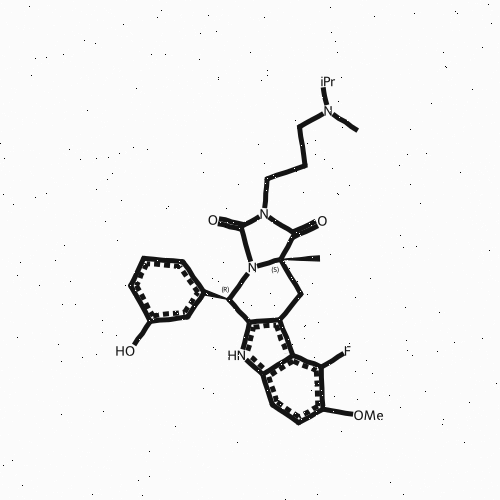 COc1ccc2[nH]c3c(c2c1F)C[C@@]1(C)C(=O)N(CCCN(C)C(C)C)C(=O)N1[C@@H]3c1cccc(O)c1